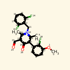 COc1cccc(-c2c(C)n(Cc3c(F)cccc3F)c(C)c(C=O)c2=O)c1F